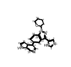 c1ncc(-c2nn(C3CCCCO3)c3ccc(-c4cncc5[nH]ccc45)cc23)[nH]1